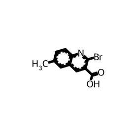 Cc1ccc2nc(Br)c(C(=O)O)cc2c1